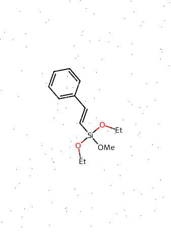 CCO[Si](/C=C/c1ccccc1)(OC)OCC